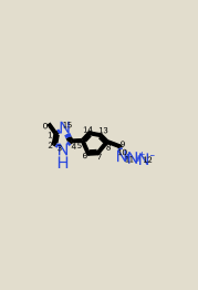 Cc1c[nH]c(-c2ccc(CN=[N+]=[N-])cc2)n1